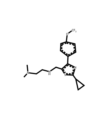 CN(C)CCNCc1sc(C2CC2)nc1-c1ccc(OC(F)(F)F)cc1